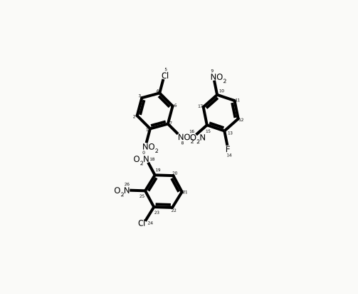 O=[N+]([O-])c1ccc(Cl)cc1[N+](=O)[O-].O=[N+]([O-])c1ccc(F)c([N+](=O)[O-])c1.O=[N+]([O-])c1cccc(Cl)c1[N+](=O)[O-]